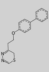 C1=NN=C(CCOc2ccc(-c3ccccc3)cc2)CS1